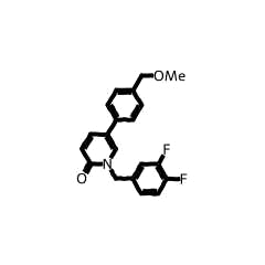 COCc1ccc(-c2ccc(=O)n(Cc3ccc(F)c(F)c3)c2)cc1